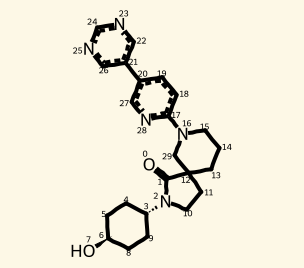 O=C1N([C@H]2CC[C@H](O)CC2)CCC12CCCN(c1ccc(-c3cncnc3)cn1)C2